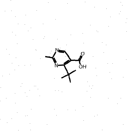 Cc1ncc(C(=O)O)c(C(C)(C)C)n1